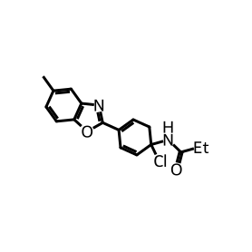 CCC(=O)NC1(Cl)C=CC(c2nc3cc(C)ccc3o2)=CC1